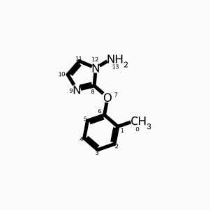 Cc1ccccc1Oc1nccn1N